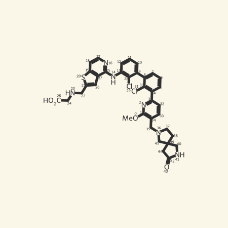 COc1nc(-c2cccc(-c3cccc(Nc4nccc5sc(CNCC(=O)O)cc45)c3Cl)c2Cl)ccc1CN1CCC2(CNC(=O)C2)C1